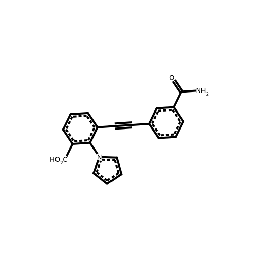 NC(=O)c1cccc(C#Cc2cccc(C(=O)O)c2-n2cccc2)c1